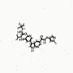 CC(C)[C@@H](Nc1cncc(-c2c[nH]c3ncc(C(=O)NCc4cnn(C)c4)cc23)c1)C(=O)NCC(F)(F)F